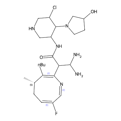 CCCC/C1=C(C(C(=O)NC2CNCC(Cl)C2N2CCC(O)C2)C(N)N)/N=C\C(F)=C/C[C@@H]1C